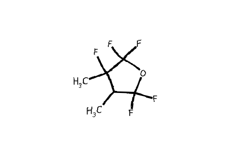 CC1C(F)(F)OC(F)(F)C1(C)F